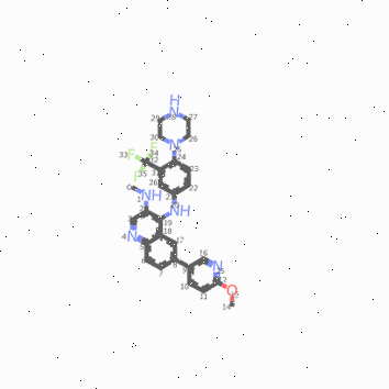 CNc1cnc2ccc(-c3ccc(OC)nc3)cc2c1Nc1ccc(N2CCNCC2)c(C(F)(F)F)c1